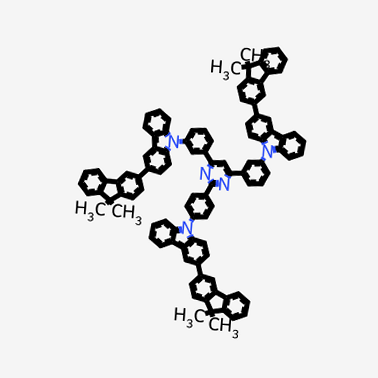 CC1(C)c2ccccc2-c2cc(-c3ccc4c(c3)c3ccccc3n4-c3ccc(-c4nc(-c5cccc(-n6c7ccccc7c7cc(-c8ccc9c(c8)-c8ccccc8C9(C)C)ccc76)c5)cc(-c5cccc(-n6c7ccccc7c7cc(-c8ccc9c(c8)-c8ccccc8C9(C)C)ccc76)c5)n4)cc3)ccc21